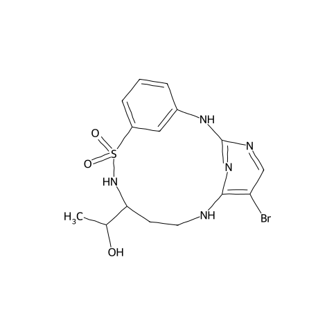 CC(O)C1CCNc2nc(ncc2Br)Nc2cccc(c2)S(=O)(=O)N1